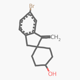 C=C1c2cc(Br)ccc2CC12CCC(O)CC2